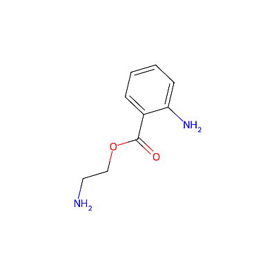 NCCOC(=O)c1ccccc1N